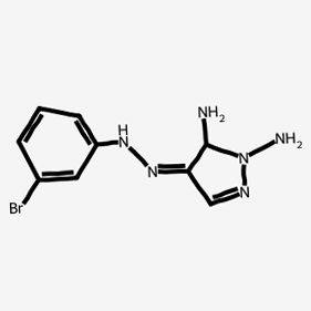 NC1C(=NNc2cccc(Br)c2)C=NN1N